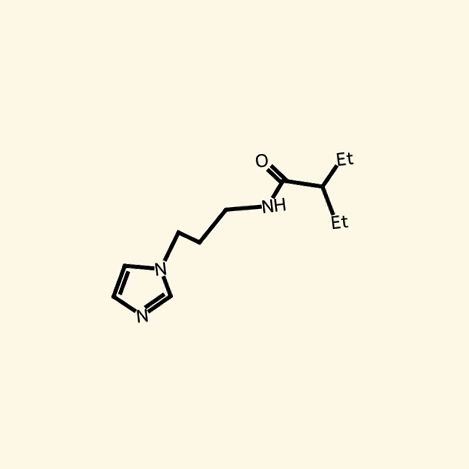 CCC(CC)C(=O)NCCCn1ccnc1